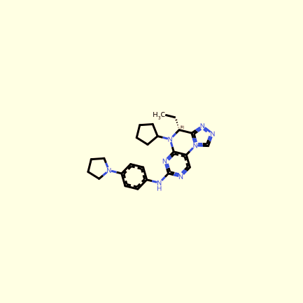 CC[C@@H]1c2nncn2-c2cnc(Nc3ccc(N4CCCC4)cc3)nc2N1C1CCCC1